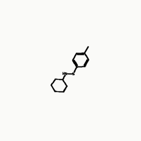 Cc1ccc(SNC2CCCCC2)cc1